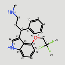 CNCCC(c1ccccc1)c1c[nH]c2cccc(OCC(F)(F)F)c12